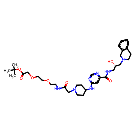 CC(C)(C)OC(=O)COCCOCCNC(=O)CN1CCC(Nc2cc(C(=O)NC[C@H](O)CN3CCc4ccccc4C3)ncn2)CC1